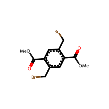 COC(=O)c1cc(CBr)c(C(=O)OC)cc1CBr